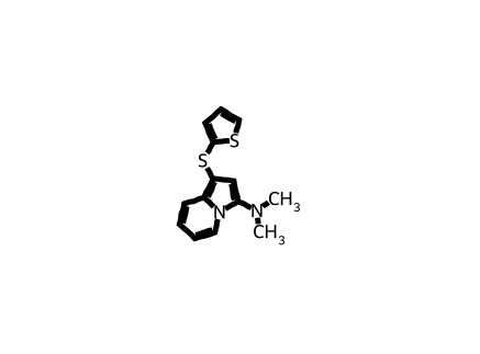 CN(C)c1cc(Sc2cccs2)c2ccccn12